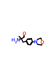 CC(N)(C=O)Cc1ccc(N2CCOCC2)cc1